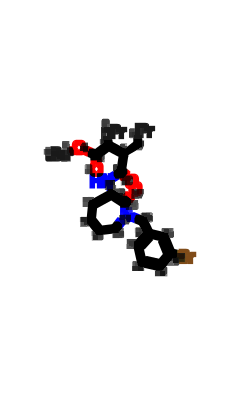 CCCC(C(=O)OC(C)(C)C)[C@@H](CC(C)C)C(=O)N[C@H]1CCCCN(Cc2cccc(Br)c2)C1=O